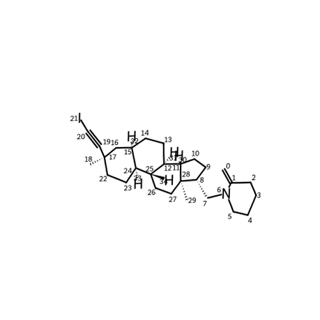 C=C1CCCCN1C[C@H]1CC[C@H]2[C@@H]3CC[C@@H]4C[C@](C)(C#CI)CC[C@@H]4[C@H]3CC[C@]12C